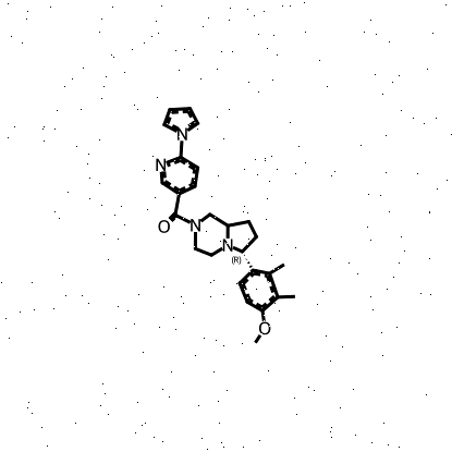 COc1ccc([C@H]2CCC3CN(C(=O)c4ccc(-n5cccc5)nc4)CCN32)c(C)c1C